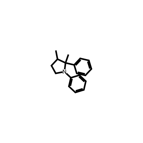 CC1CCN(c2ccccc2)C1(C)c1ccccc1